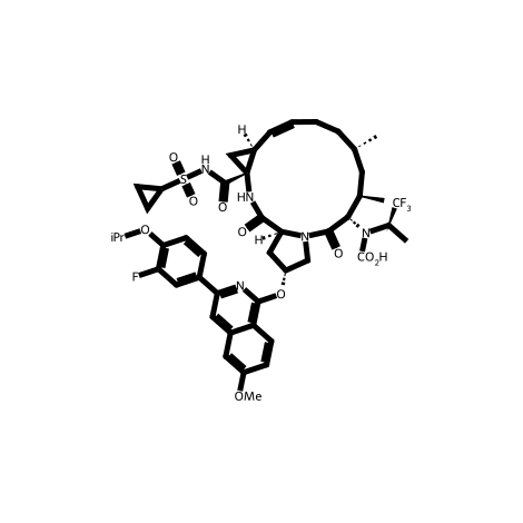 COc1ccc2c(O[C@@H]3C[C@H]4C(=O)N[C@]5(C(=O)NS(=O)(=O)C6CC6)C[C@H]5/C=C\CC[C@H](C)C[C@@H](C)[C@H](N(C(=O)O)[C@H](C)C(F)(F)F)C(=O)N4C3)nc(-c3ccc(OC(C)C)c(F)c3)cc2c1